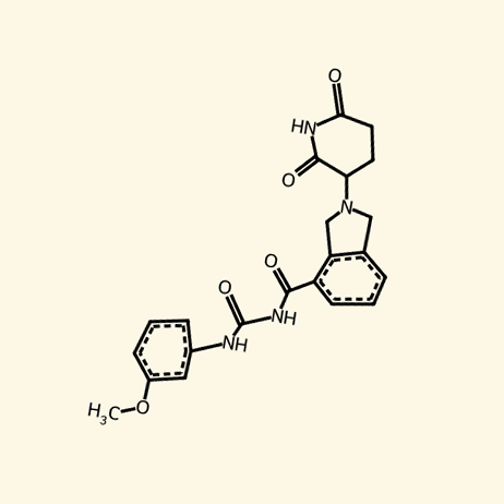 COc1cccc(NC(=O)NC(=O)c2cccc3c2CN(C2CCC(=O)NC2=O)C3)c1